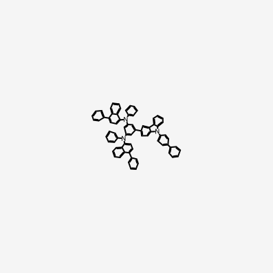 c1ccc(-c2ccc(-n3c4ccccc4c4cc(-c5cc(N(c6ccccc6)c6ccc(-c7ccccc7)c7ccccc67)cc(N(c6ccccc6)c6ccc(-c7ccccc7)c7ccccc67)c5)ccc43)cc2)cc1